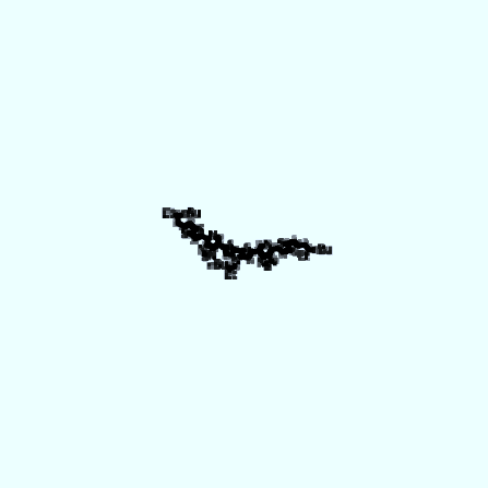 CCCCC(CC)Cc1cc2sc(-c3ncc(-c4cc5c(s4)c4sc(-c6cnc(-c7cc8sc(CC(CC)CCCC)cc8s7)c7nsnc67)cc4n5CC(CC)CCCC)c4nsnc34)cc2s1